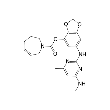 CNc1cc(C)nc(Nc2cc3c(c(OC(=O)N4CC=CCCC4)c2)OCO3)n1